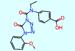 CCN(C(=O)n1nnn(-c2ccccc2OC)c1=O)c1ccc(C(=O)O)cc1